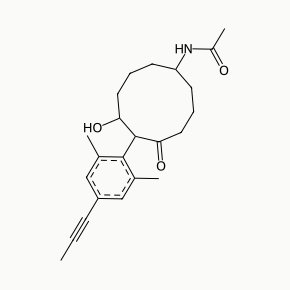 CC#Cc1cc(C)c(C2C(=O)CCCC(NC(C)=O)CCCC2O)c(C)c1